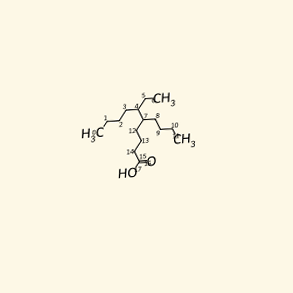 CCCCC(CC)C(CCCC)CCCC(=O)O